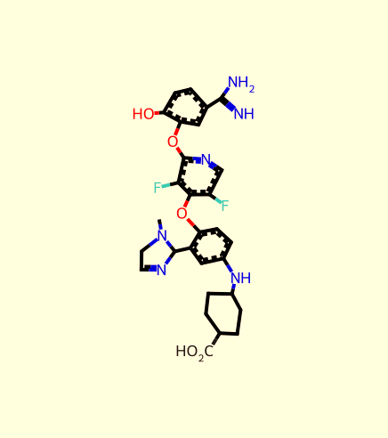 CN1CC=NC1c1cc(NC2CCC(C(=O)O)CC2)ccc1Oc1c(F)cnc(Oc2cc(C(=N)N)ccc2O)c1F